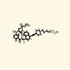 Cc1ccc(N[C@@H]2CN(C(=O)OC(C)(C)C)CC2(F)F)cc1C(=O)N[C@@H](C)c1ccc(C#CC2CCN(CCCCC(=O)O)CC2)c2ccccc12